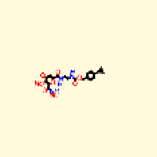 O=C(NCCNC(=O)c1cc(=O)c(O)c(C(=O)NO)o1)OCc1ccc(C2CC2)cc1